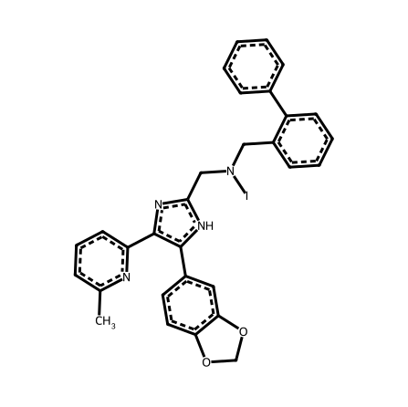 Cc1cccc(-c2nc(CN(I)Cc3ccccc3-c3ccccc3)[nH]c2-c2ccc3c(c2)OCO3)n1